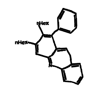 CCCCCCc1cc2nc3ccccc3cc2c(-c2ccccc2)c1CCCCCC